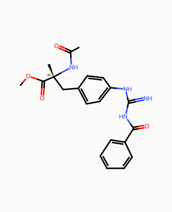 COC(=O)[C@@](C)(Cc1ccc(NC(=N)NC(=O)c2ccccc2)cc1)NC(C)=O